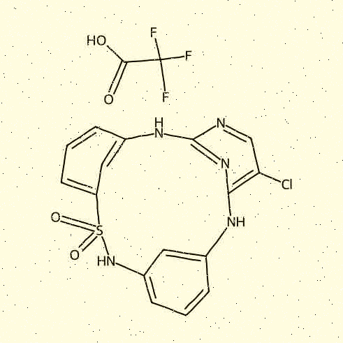 O=C(O)C(F)(F)F.O=S1(=O)Nc2cccc(c2)Nc2nc(ncc2Cl)Nc2cccc1c2